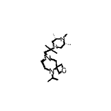 CC(C)N1CCN(CC(C)(C)N2C[C@@H](C)N(C)[C@@H](C)C2)CC12COC2